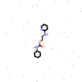 O=C(Nc1ccccc1)OCCNc1ccccn1